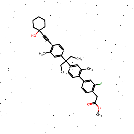 CCC(CC)(c1ccc(C#CC2(O)CCCCC2)c(C)c1)c1ccc(-c2ccc(CC(=O)OC)c(F)c2)c(C)c1